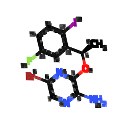 C[C@@H](Oc1nc(Br)cnc1N)c1cc(F)ccc1I